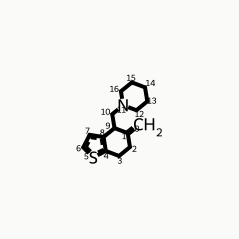 C=C1CCc2sccc2C1CN1CCCCC1